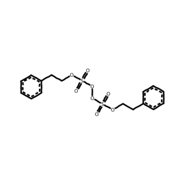 O=S(=O)(OCCc1ccccc1)OOS(=O)(=O)OCCc1ccccc1